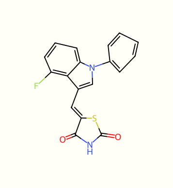 O=C1NC(=O)/C(=C/c2cn(-c3ccccc3)c3cccc(F)c23)S1